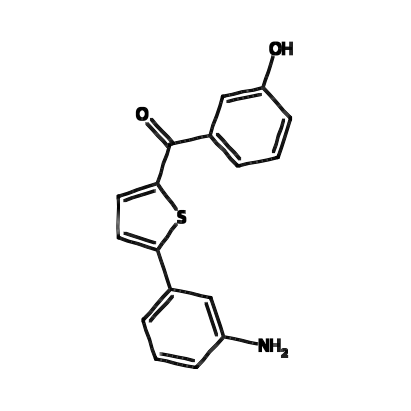 Nc1cccc(-c2ccc(C(=O)c3cccc(O)c3)s2)c1